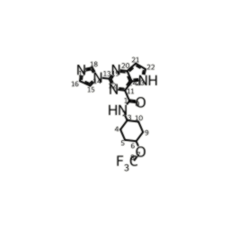 O=C(NC1CCC(OC(F)(F)F)CC1)c1nc(-n2ccnc2)nc2cc[nH]c12